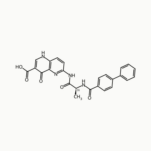 C[C@H](NC(=O)c1ccc(-c2ccccc2)cc1)C(=O)Nc1ccc2[nH]cc(C(=O)O)c(=O)c2n1